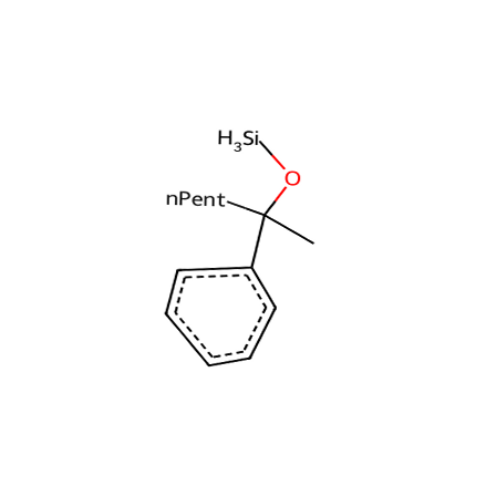 CCCCCC(C)(O[SiH3])c1ccccc1